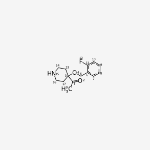 CC(=O)C1(OCc2ccccc2F)CCNCC1